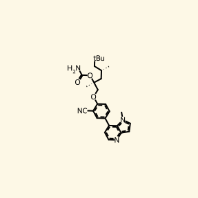 C[C@@H](CC(C)(C)C)C[C@@](C)(COc1ccc(-c2ccnc3ccn(C)c23)cc1C#N)OC(N)=O